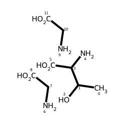 CC(O)C(N)C(=O)O.NCC(=O)O.NCC(=O)O